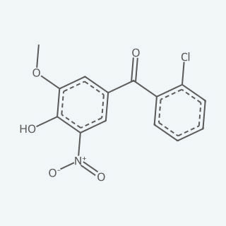 COc1cc(C(=O)c2ccccc2Cl)cc([N+](=O)[O-])c1O